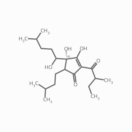 CCC(C)C(=O)C1=C(O)[C@](O)(C(O)CCC(C)C)C(CCC(C)C)C1=O